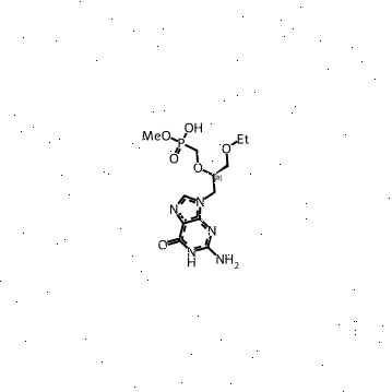 CCOC[C@@H](Cn1cnc2c(=O)[nH]c(N)nc21)OCP(=O)(O)OC